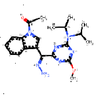 COc1nc(C(=NN)c2cn(C(C)=O)c3ccccc23)nc(N(C(C)C)C(C)C)n1